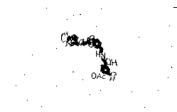 CC(=O)Oc1ccc(C(O)CNCCc2ccc3c(c2)OC(COCc2ccc(Cl)nc2)CO3)cc1CO